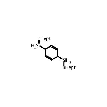 CCCCCCC[SiH2]C1C=CC([SiH2]CCCCCCC)C=C1